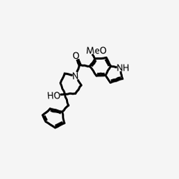 COc1cc2[nH]ccc2cc1C(=O)N1CCC(O)(Cc2ccccc2)CC1